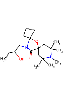 CCC(O)CN1C(=O)C2(CC(C)(C)N(C)C(C)(C)C2)OC12CCC2